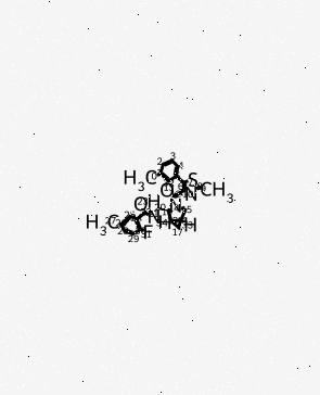 Cc1cccc(-c2sc(C)nc2C(=O)N2C[C@@H]3C[C@@H]3[C@H]2CNC(=O)c2cc(C)ccc2F)c1